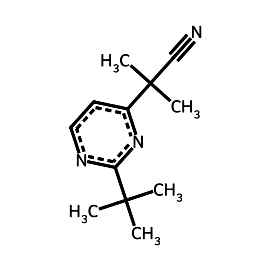 CC(C)(C)c1nccc(C(C)(C)C#N)n1